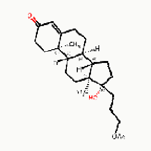 CC(=O)OCCC[C@]1(O)CC[C@H]2[C@@H]3CCC4=CC(=O)CC[C@]4(C)[C@H]3CC[C@@]21C